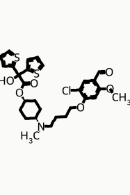 COc1cc(OCCCCN(C)[C@H]2CC[C@H](OC(=O)C(O)(c3cccs3)c3cccs3)CC2)c(Cl)cc1C=O